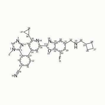 Cn1cnnc1-c1cc(C#N)ccc1-c1cc(-c2nc3cc(CNCC4CCC4)cc(F)c3o2)nc(C2CC2)c1